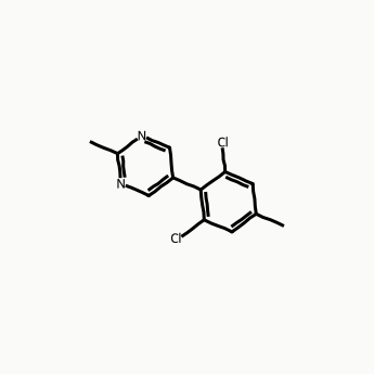 Cc1cc(Cl)c(-c2cnc(C)nc2)c(Cl)c1